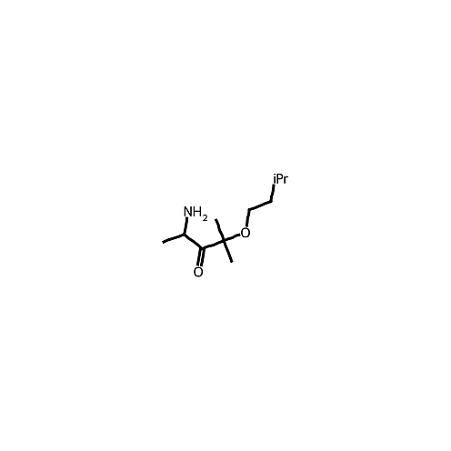 CC(C)CCOC(C)(C)C(=O)C(C)N